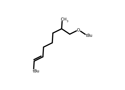 CC(CCC/C=C/C(C)(C)C)COC(C)(C)C